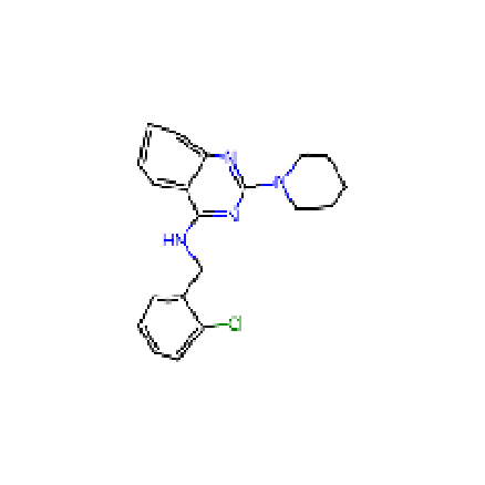 Clc1ccccc1CNc1nc(N2CCCCC2)nc2ccccc12